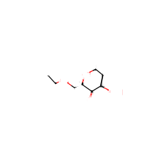 CCOC[C@H]1OCCC(O)C1O